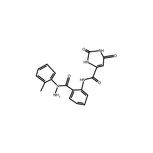 Cc1ccccc1N(N)C(=O)c1ccccc1NC(=O)c1cc(=O)[nH]c(=O)[nH]1